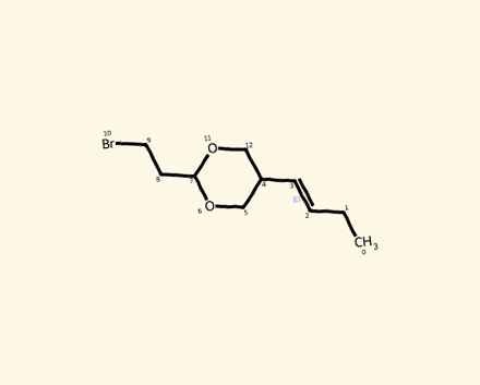 CC/C=C/C1COC(CCBr)OC1